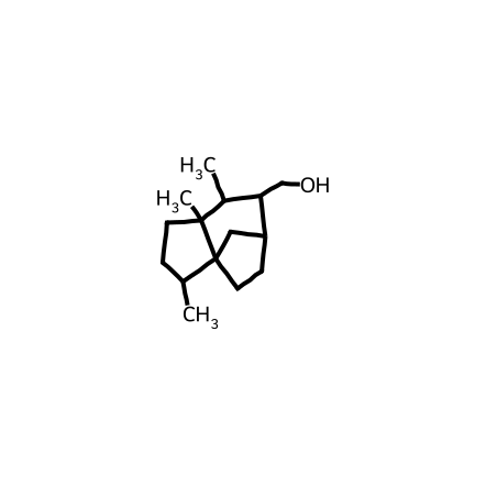 CC1C(CO)C2CCC3(C2)C(C)CCC13C